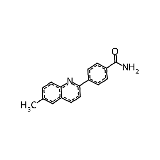 Cc1ccc2nc(-c3ccc(C(N)=O)cc3)ccc2c1